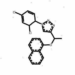 CC(Oc1cccc2ccccc12)c1cn(C2C=CC(Cl)=CC2Cl)nn1